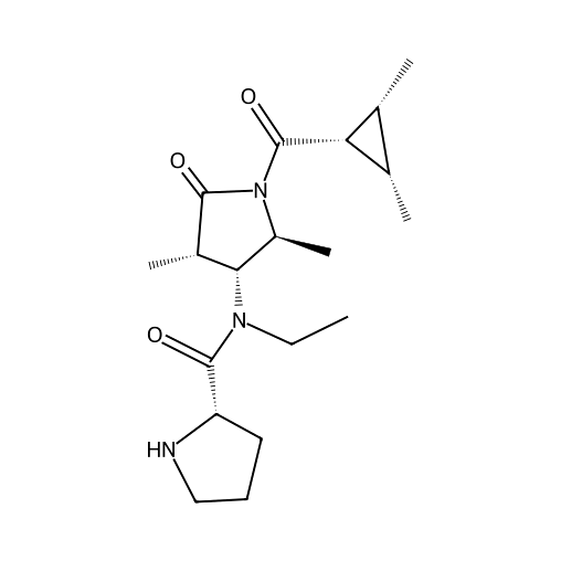 CCN(C(=O)[C@@H]1CCCN1)[C@@H]1[C@H](C)C(=O)N(C(=O)[C@@H]2[C@H](C)[C@@H]2C)[C@H]1C